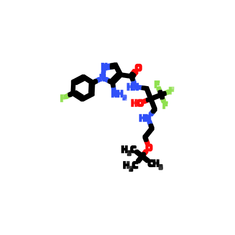 CC(C)(C)OCCNCC(O)(CNC(=O)c1cnn(-c2ccc(F)cc2)c1N)C(F)(F)F